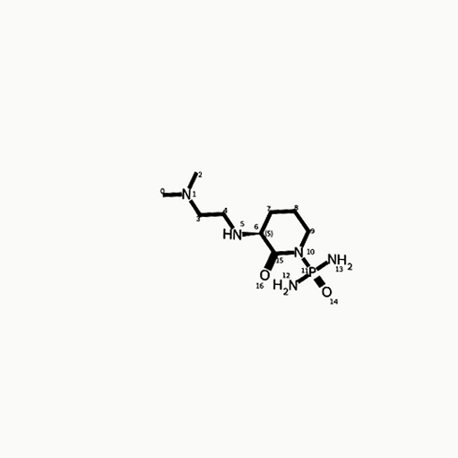 CN(C)CCN[C@H]1CCCN(P(N)(N)=O)C1=O